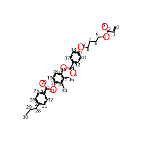 C=CC(=O)OCCCCOc1ccc(C(=O)Oc2ccc(OC(=O)c3ccc(CCC)cc3)c(C)c2C)cc1